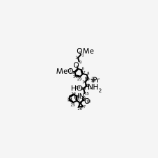 COCCCOc1cc(C[C@@H](C[C@H](N)[C@@H](O)CNC(=O)C2(c3ccccc3)CC2)C(C)C)ccc1OC